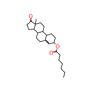 CCCCCCC(=O)OC1C=C2CCC3C(CCC4(C)C(=O)CCC34)C2CC1